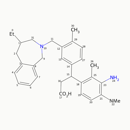 CCC1Cc2ccccc2CN(Cc2cc(C(CC(=O)O)c3ccc(NC)c(N)c3C)ccc2C)C1